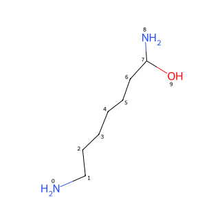 NCCCCCCC(N)O